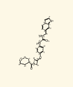 O=C(NCc1ccn2ccnc2c1)Nc1ccc(OC2CN(C(=O)C3CCOCC3)C2)cc1